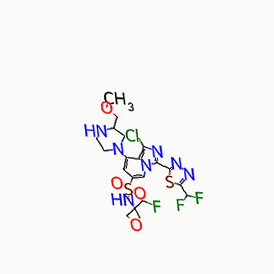 COCC1CN(c2cc(S(=O)(=O)NC3(CF)COC3)cn3c(-c4nnc(C(F)F)s4)nc(Cl)c23)CCN1